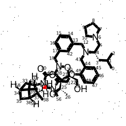 CC(C)C[C@@H](CN1CCCC1)N(Cc1cccc(CN2O[C@@H](CO)[C@@H]([C@H](C)O)[C@H]2C(=O)N[C@H]2C[C@H]3C[C@@H]([C@@H]2C)C3(C)C)c1)Cc1ccccc1OCC(=O)N(C)C